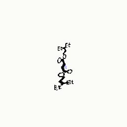 CCC(CC)CCOC(=O)/C=C/C(=O)OCCC(CC)CC